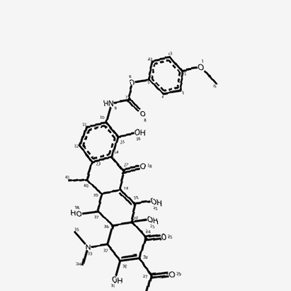 COc1ccc(OC(=O)Nc2ccc3c(c2O)C(=O)C2=C(O)C4(O)C(=O)C(C(N)=O)=C(O)C(N(C)C)C4C(O)C2C3C)cc1